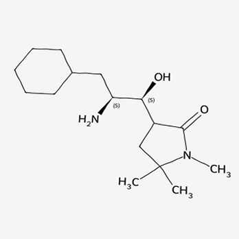 CN1C(=O)C([C@H](O)[C@@H](N)CC2CCCCC2)CC1(C)C